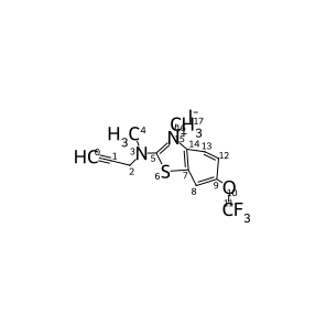 C#CCN(C)c1sc2cc(OC(F)(F)F)ccc2[n+]1C.[I-]